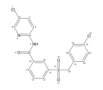 O=C(Nc1ccc(Cl)cn1)c1cccc(S(=O)(=O)Cc2ccc(Cl)cc2)c1